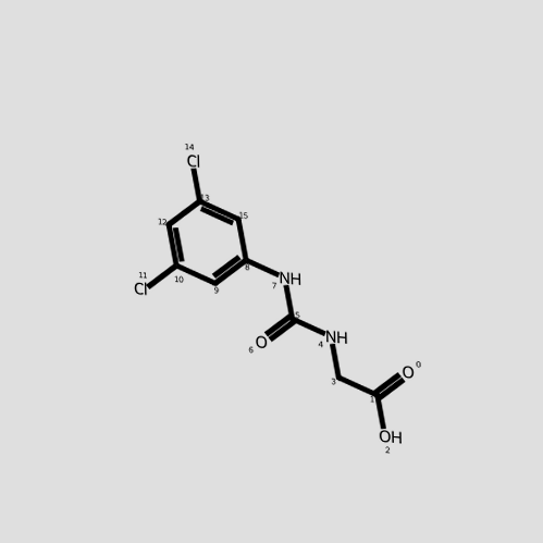 O=C(O)CNC(=O)Nc1cc(Cl)cc(Cl)c1